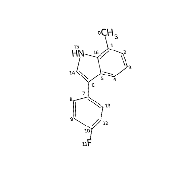 Cc1cccc2c(-c3ccc(F)cc3)c[nH]c12